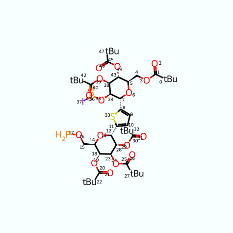 CC(C)(C)C(=O)OC[C@H]1O[C@H](c2ccc([C@H]3O[C@H](COP)[C@@H](OC(=O)C(C)(C)C)[C@H](OC(=O)C(C)(C)C)[C@@H]3OC(=O)C(C)(C)C)s2)[C@@H](OPI)[C@@H](OC(=O)C(C)(C)C)[C@@H]1OC(=O)C(C)(C)C